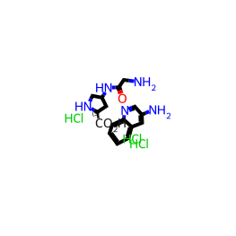 Cl.Cl.Cl.NCC(=O)NC1CN[C@H](C(=O)O)C1.Nc1cnc2ccccc2c1